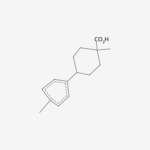 Cc1ccc(C2CCC(C)(C(=O)O)CC2)cc1